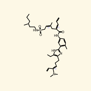 C=C/C=C(\C/C(C)=C\CS(=O)(=O)NCCC(C)CCC)C(=O)Nc1ccc(C)c(-c2nc(CC/C=C(\C=C)N(C)C)c(CC)[nH]2)c1